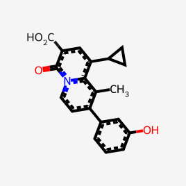 Cc1c(-c2cccc(O)c2)ccn2c(=O)c(C(=O)O)cc(C3CC3)c12